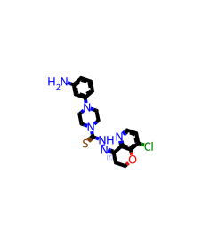 Nc1cccc(N2CCN(C(=S)N/N=C3/CCOc4c(Cl)ccnc43)CC2)c1